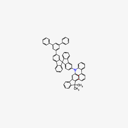 CC1(C)c2ccccc2-c2cc(N(c3ccc4c(c3)-c3ccccc3C43c4ccccc4-c4ccc(-c5cc(-c6ccccc6)cc(-c6ccccc6)c5)cc43)c3ccccc3-c3ccccc3)ccc21